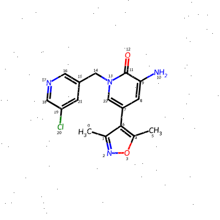 Cc1noc(C)c1-c1cc(N)c(=O)n(Cc2cncc(Cl)c2)c1